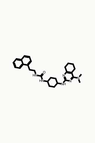 CN(C)c1nc(NC2CCC(NC(=O)NCCc3cccc4ccccc34)CC2)nc2c1CCCC2